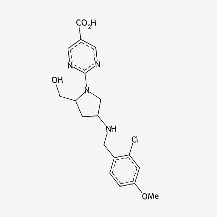 COc1ccc(CNC2CC(CO)N(c3ncc(C(=O)O)cn3)C2)c(Cl)c1